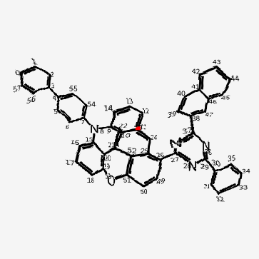 c1ccc(-c2ccc(N(c3ccccc3)c3cccc4c3-c3cccc5c(-c6nc(-c7ccccc7)nc(-c7ccc8ccccc8c7)n6)ccc(c35)O4)cc2)cc1